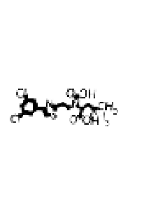 CC(C)CC(C(=O)O)N(CCc1nc(-c2cc(Cl)cc(Cl)c2)cs1)C(=O)O